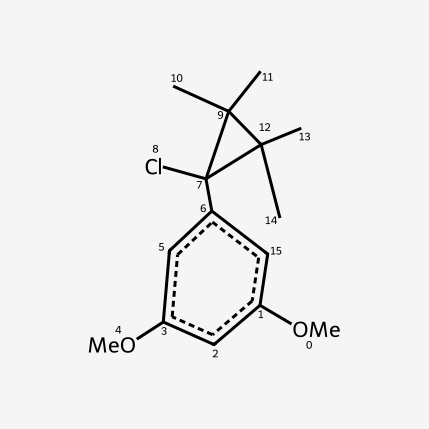 COc1cc(OC)cc(C2(Cl)C(C)(C)C2(C)C)c1